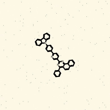 c1ccc(-c2nc(-c3ccc(-c4ccc(-n5c6ccccc6c6ccccc65)cc4)nc3)nc3c2ccc2ccccc23)cc1